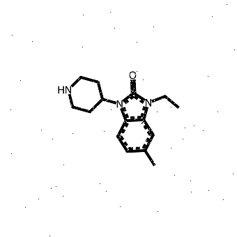 CCn1c(=O)n(C2CCNCC2)c2ccc(C)cc21